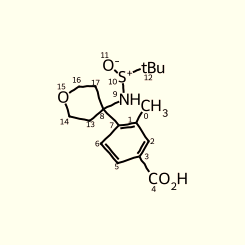 Cc1cc(C(=O)O)ccc1C1(N[S+]([O-])C(C)(C)C)CCOCC1